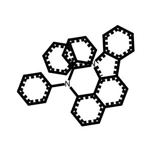 c1ccc(N(c2ccccc2)c2cccc3ccc4c5ccccc5n(-c5ccccc5)c4c23)cc1